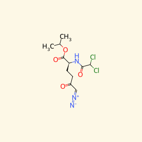 CC(C)OC(=O)[C@H](CCC(=O)C=[N+]=[N-])NC(=O)C(Cl)Cl